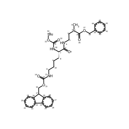 CN(CCNC(=O)[C@H](CCCCNC(=O)OCC1c2ccccc2-c2ccccc21)NC(=O)OC(C)(C)C)C(=O)OCc1ccccc1